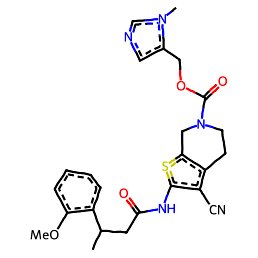 COc1ccccc1C(C)CC(=O)Nc1sc2c(c1C#N)CCN(C(=O)OCc1cncn1C)C2